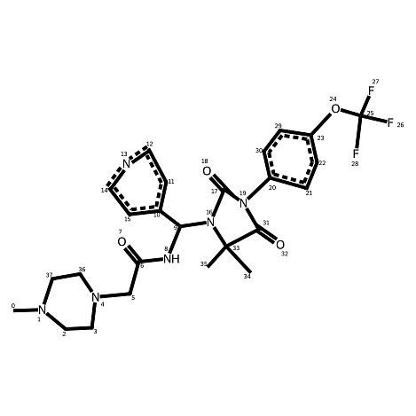 CN1CCN(CC(=O)NC(c2ccncc2)N2C(=O)N(c3ccc(OC(F)(F)F)cc3)C(=O)C2(C)C)CC1